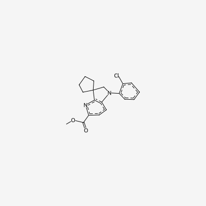 COC(=O)c1ccc2c(n1)C1(CCCC1)CN2c1ccccc1Cl